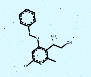 Cc1nc(Cl)cc(OCc2ccccc2)c1[C@H](N)CO